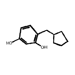 Oc1ccc(CC2CCCC2)c(O)c1